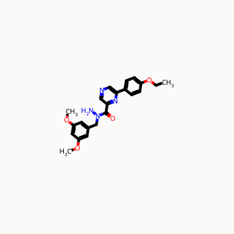 CCOc1ccc(-c2cncc(C(=O)N(N)Cc3cc(OC)cc(OC)c3)n2)cc1